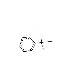 CCCCCC(C(=O)O)(C(=O)O)c1ccccc1.[BaH2]